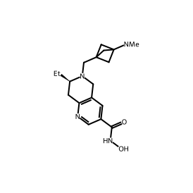 CC[C@@H]1Cc2ncc(C(=O)NO)cc2CN1CC12CC(NC)(C1)C2